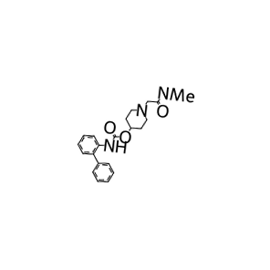 CNC(=O)CN1CCC(OC(=O)Nc2ccccc2-c2ccccc2)CC1